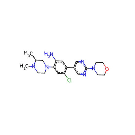 C[C@H]1CN(c2cc(Cl)c(-c3cnc(N4CCOCC4)nc3)cc2N)CCN1C